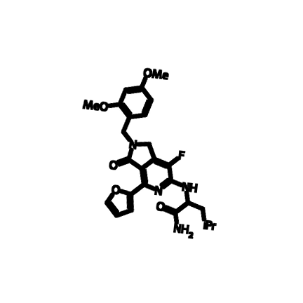 COc1ccc(CN2Cc3c(F)c(NC(CC(C)C)C(N)=O)nc(-c4ccco4)c3C2=O)c(OC)c1